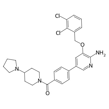 Nc1ncc(-c2ccc(C(=O)N3CCC(N4CCCC4)CC3)cc2)cc1OCc1cccc(Cl)c1Cl